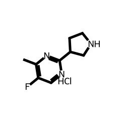 Cc1nc(C2CCNC2)ncc1F.Cl